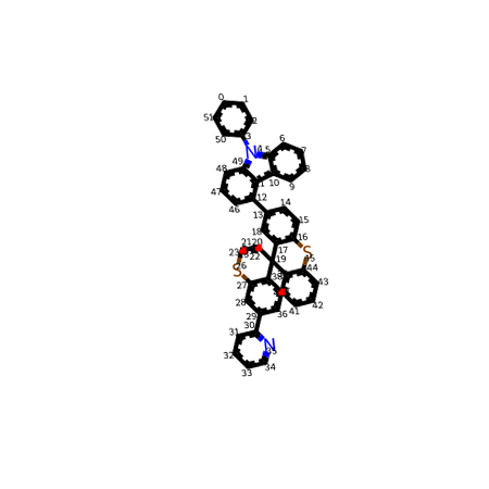 c1ccc(-n2c3ccccc3c3c(-c4ccc5c(c4)C4(c6ccccc6Sc6cc(-c7ccccn7)ccc64)c4ccccc4S5)cccc32)cc1